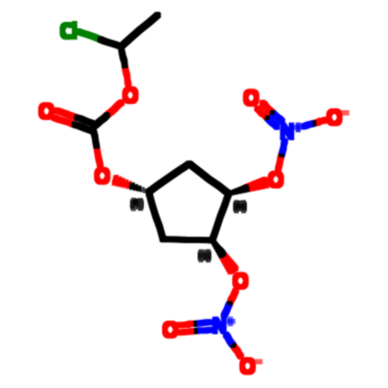 CC(Cl)OC(=O)O[C@H]1C[C@H](O[N+](=O)[O-])[C@H](O[N+](=O)[O-])C1